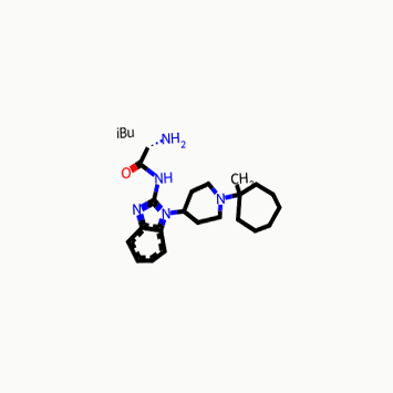 CC[C@H](C)[C@H](N)C(=O)Nc1nc2ccccc2n1C1CCN(C2(C)CCCCCC2)CC1